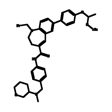 CCCCOC(C)Oc1ccc(-c2ccc3c(c2)C=C(C(=O)Nc2ccc(CN(C)C4CCCOC4)cc2)CCN3CC(C)C)cc1